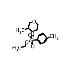 CC1COCCN1.CCOS(=O)(=O)c1ccc(C)cc1